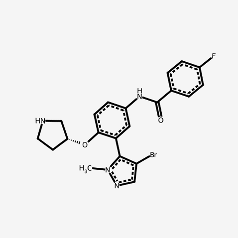 Cn1ncc(Br)c1-c1cc(NC(=O)c2ccc(F)cc2)ccc1O[C@@H]1CCNC1